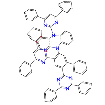 c1ccc(-c2cc(-c3ccccc3)nc(-c3cc(-c4nc(-c5ccccc5)nc(-c5ccccc5)n4)c(-c4ccccc4)cc3N3c4ccccc4N(c4nc(-c5ccccc5)cc(-c5ccccc5)n4)c4ccccc43)n2)cc1